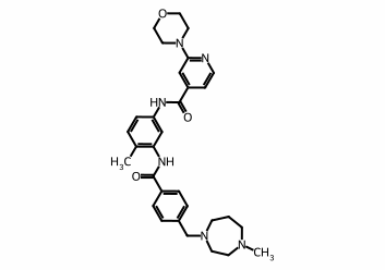 Cc1ccc(NC(=O)c2ccnc(N3CCOCC3)c2)cc1NC(=O)c1ccc(CN2CCCN(C)CC2)cc1